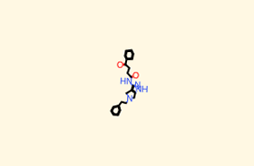 O=C(CCC(=O)c1ccccc1)Nc1n[nH]c2c1CN(CCc1ccccc1)C2